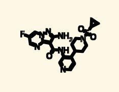 Nc1nn2cc(F)cnc2c1C(=O)Nc1cnccc1C1CCN(S(=O)(=O)C2CC2)CC1